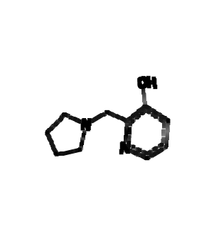 Oc1cccnc1CN1CCCC1